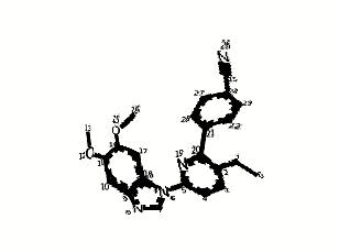 CCc1ccc(-n2cnc3cc(OC)c(OC)cc32)nc1-c1ccc(C#N)cc1